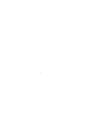 CCOC(=O)C(N)NC(=O)OC(C)(C)C